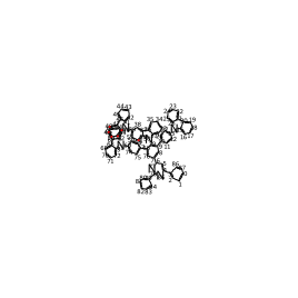 c1ccc(-c2cc(-c3cc(-c4ccc(-n5c6ccccc6c6ccccc65)cc4)c(-n4c5ccccc5c5cc(-n6c7ccccc7c7ccccc76)ccc54)c(-c4ccc(-n5c6ccccc6c6ccccc65)cc4)c3)nc(-c3ccccc3)n2)cc1